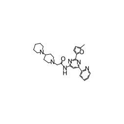 Cc1ccc(-c2nc(NC(=O)CN3CCC(N4CCCCC4)CC3)cc(-c3ccccn3)n2)o1